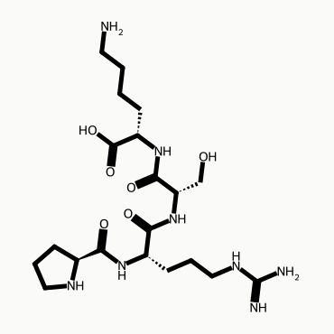 N=C(N)NCCC[C@H](NC(=O)[C@@H]1CCCN1)C(=O)N[C@@H](CO)C(=O)N[C@@H](CCCCN)C(=O)O